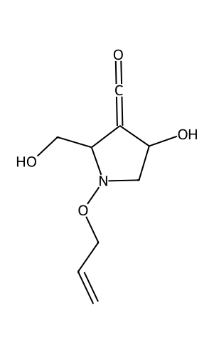 C=CCON1CC(O)C(=C=O)C1CO